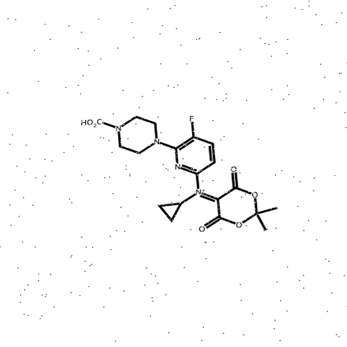 CC1(C)OC(=O)C(=[N+](c2ccc(F)c(N3CCN(C(=O)O)CC3)n2)C2CC2)C(=O)O1